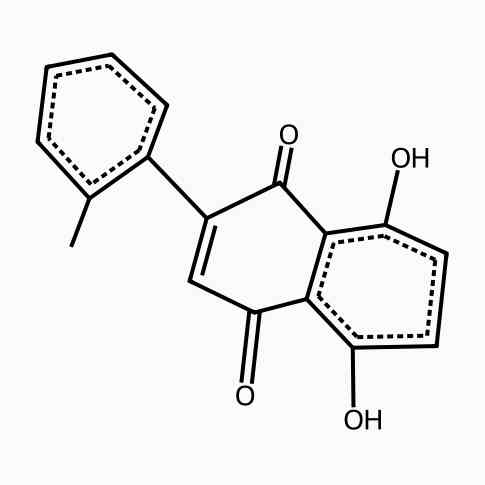 Cc1ccccc1C1=CC(=O)c2c(O)ccc(O)c2C1=O